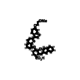 COCCOc1ccn2c(-c3ccc4cccc(OC5CCN(C(=O)O)C(Cc6ccc7ccccc7c6)C5O)c4n3)cnc2c1